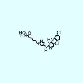 O=C(CCCCCn1cc(Nc2ncc(Cl)c(Nc3cccc(Cl)c3)n2)cn1)NO